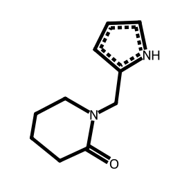 O=C1CCCCN1Cc1ccc[nH]1